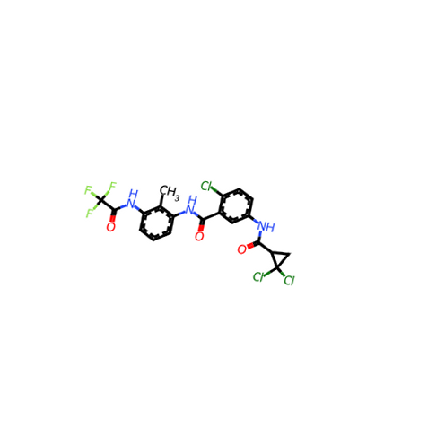 Cc1c(NC(=O)c2cc(NC(=O)C3CC3(Cl)Cl)ccc2Cl)cccc1NC(=O)C(F)(F)F